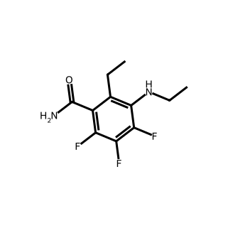 CCNc1c(F)c(F)c(F)c(C(N)=O)c1CC